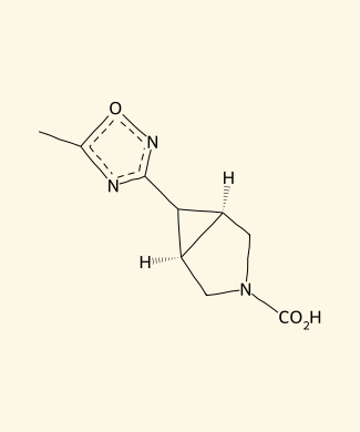 Cc1nc(C2[C@H]3CN(C(=O)O)C[C@@H]23)no1